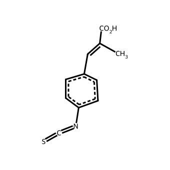 C/C(=C\c1ccc(N=C=S)cc1)C(=O)O